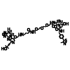 CCn1c(-c2nonc2N)nc2c(C#CC(C)(C)O)ncc(OCCCNCCCC(=O)NCCOCCOCCOCCC(=O)NC(C(=O)N3C[C@H](O)C[C@H]3C(=O)NCc3ccc(-c4scnc4C)cc3)C(C)(C)C)c21